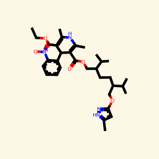 CCOC(=O)C1=C(C)NC(C)=C(C(=O)OCC(CCC(COc2cc(C)[nH]n2)C(C)C)C(C)C)C1c1ccccc1[N+](=O)[O-]